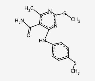 CSc1ccc(Nc2nc(SC)nc(C)c2C(N)=O)cc1